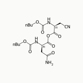 CCCCOC(=O)N[C@@H](CC#N)C(=O)OC(=O)[C@@H](CC(N)=O)NC(=O)OCCCC